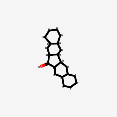 O=C1C2CC3CCCCC3CC2C2CC3CCCCC3CC12